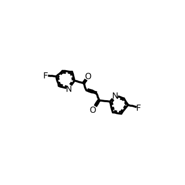 O=C(C=CC(=O)c1ccc(F)cn1)c1ccc(F)cn1